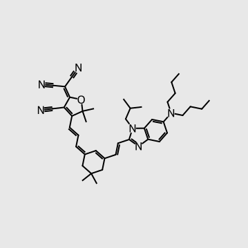 CCCCN(CCCC)c1ccc2nc(/C=C/C3=CC(=CC=CC4=C(C#N)C(=C(C#N)C#N)OC4(C)C)CC(C)(C)C3)n(CC(C)C)c2c1